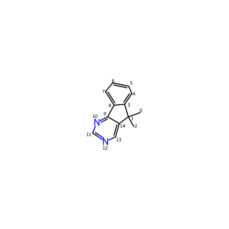 CC1(C)c2ccccc2-c2ncncc21